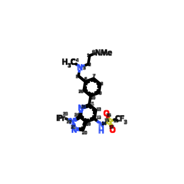 CNCCN(C)Cc1cccc(-c2cc(NS(=O)(=O)C(F)(F)F)c3cnn(C(C)C)c3n2)c1